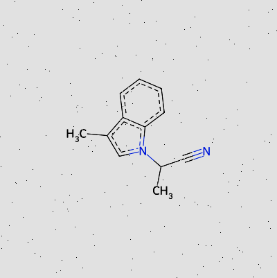 Cc1cn(C(C)C#N)c2ccccc12